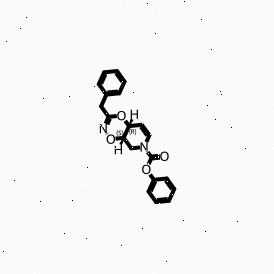 O=C(Oc1ccccc1)N1C=C[C@H]2OC(Cc3ccccc3)=NO[C@H]2C1